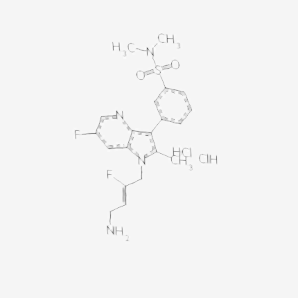 Cc1c(-c2cccc(S(=O)(=O)N(C)C)c2)c2ncc(F)cc2n1CC(F)=CCN.Cl.Cl